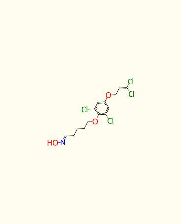 ON=CCCCCOc1c(Cl)cc(OCC=C(Cl)Cl)cc1Cl